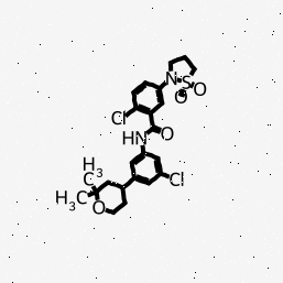 CC1(C)CC(c2cc(Cl)cc(NC(=O)c3cc(N4CCCS4(=O)=O)ccc3Cl)c2)CCO1